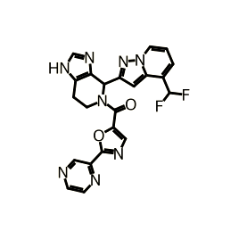 O=C(c1cnc(-c2cnccn2)o1)N1CCc2[nH]cnc2C1c1cc2c(C(F)F)cccn2n1